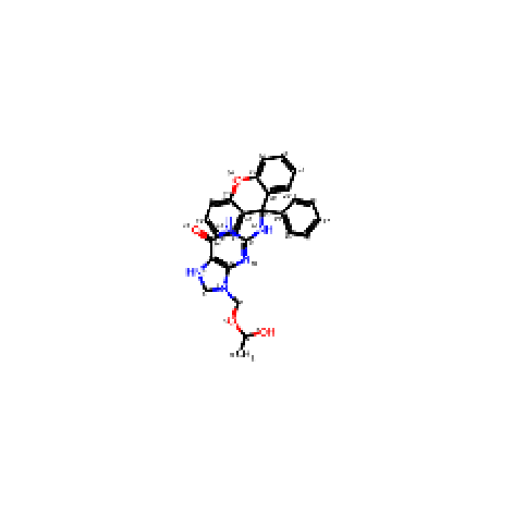 CC(O)OCN1CNc2c1nc(NC1(c3ccccc3)c3ccccc3Oc3ccccc31)[nH]c2=O